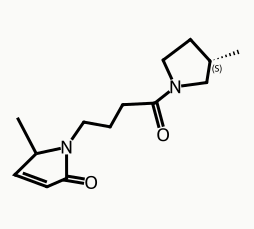 CC1C=CC(=O)N1CCCC(=O)N1CC[C@H](C)C1